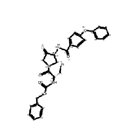 CC(C)C[C@H](NC(=O)OCc1ccccc1)C(=O)N1CC(=O)[C@@H](NC(=O)c2ccc(Oc3ccccc3)cc2)C1